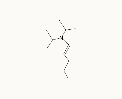 CCC/C=C/N(C(C)C)C(C)C